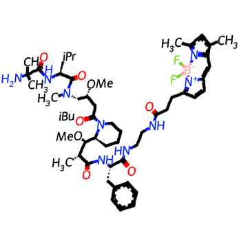 CC[C@H](C)[C@@H]([C@@H](CC(=O)N1CCCC[C@H]1[C@H](OC)[C@@H](C)C(=O)N[C@@H](Cc1ccccc1)C(=O)NCCNC(=O)CCC1=[N+]2C(=Cc3c(C)cc(C)n3[B-]2(F)F)C=C1)OC)N(C)C(=O)[C@@H](NC(=O)C(C)(C)N)C(C)C